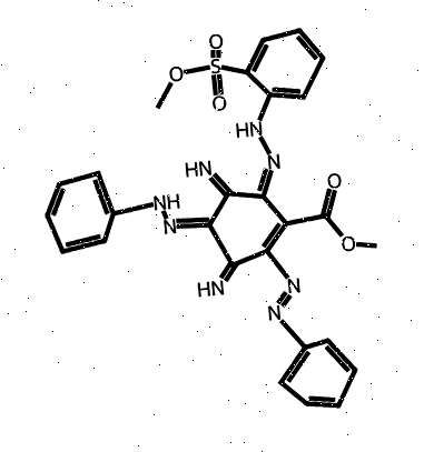 COC(=O)c1c(/N=N/c2ccccc2)c(=N)/c(=N/Nc2ccccc2)c(=N)/c1=N\Nc1ccccc1S(=O)(=O)OC